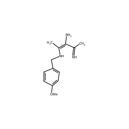 COc1ccc(CN/C(C)=C(/N)C(C)=N)cc1